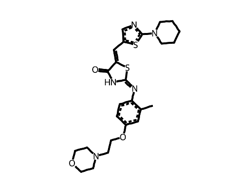 Cc1cc(OCCN2CCOCC2)ccc1N=C1NC(=O)C(=Cc2cnc(N3CCCCC3)s2)S1